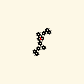 C1=C(c2ccc(N(c3ccccc3)c3ccccc3-c3ccc(-c4ccc(N(c5ccccc5)c5ccc(-c6cccc7ccccc67)cc5)cc4)cc3)cc2)c2ccccc2CC1